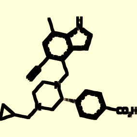 C#Cc1cc(C)c2[nH]ccc2c1CN1CCN(CC2CC2)C[C@H]1c1ccc(C(=O)O)cc1